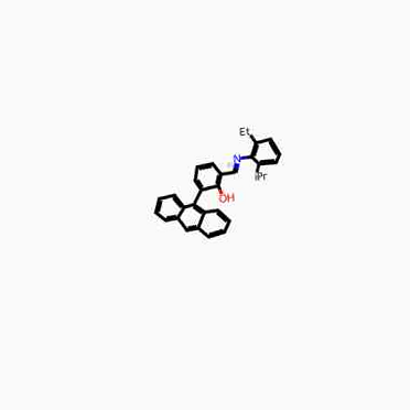 CCc1cccc(C(C)C)c1/N=C/c1cccc(-c2c3ccccc3cc3ccccc23)c1O